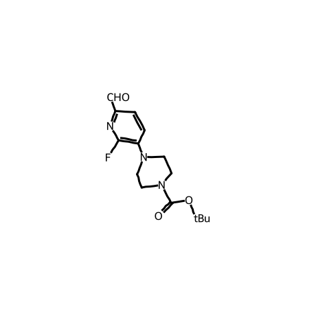 CC(C)(C)OC(=O)N1CCN(c2ccc(C=O)nc2F)CC1